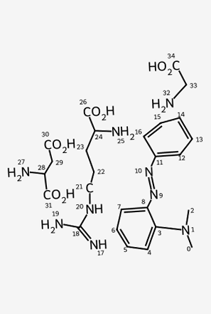 CN(C)c1ccccc1N=Nc1ccccc1.N=C(N)NCCCC(N)C(=O)O.NC(CC(=O)O)C(=O)O.NCC(=O)O